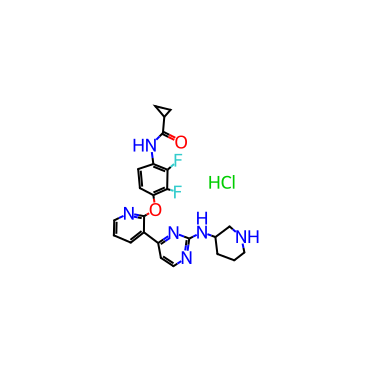 Cl.O=C(Nc1ccc(Oc2ncccc2-c2ccnc(NC3CCCNC3)n2)c(F)c1F)C1CC1